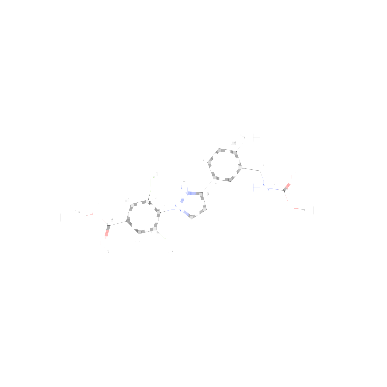 COC(=O)NCc1cc(-c2ccn(-c3c(F)cc(C(=O)OC)cc3F)n2)ccc1C